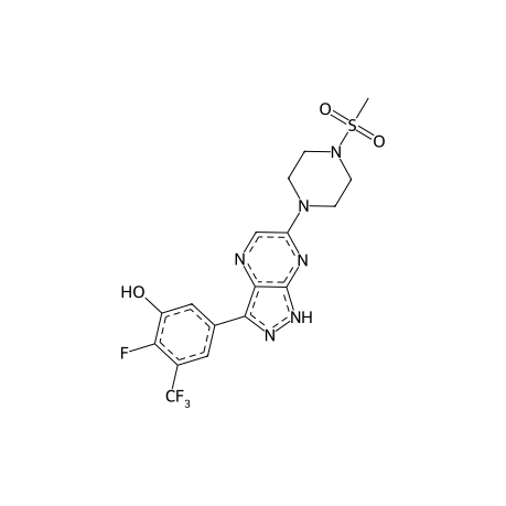 CS(=O)(=O)N1CCN(c2cnc3c(-c4cc(O)c(F)c(C(F)(F)F)c4)n[nH]c3n2)CC1